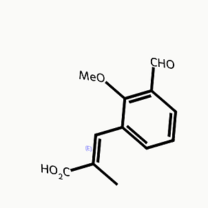 COc1c(C=O)cccc1/C=C(\C)C(=O)O